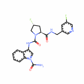 NC(=O)n1cc(NC(=O)N2C[C@H](F)C[C@H]2C(=O)NCc2cncc(F)c2)c2ccccc21